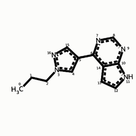 CCCn1cc(-c2ncnc3[nH]ccc23)cn1